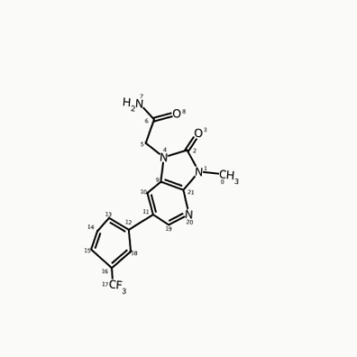 Cn1c(=O)n(CC(N)=O)c2cc(-c3cccc(C(F)(F)F)c3)cnc21